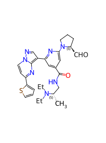 CCN(CC)[C@@H](C)CNC(=O)c1cc(-c2cnn3ccc(-c4cccs4)nc23)nc(N2CCC[C@H]2C=O)c1